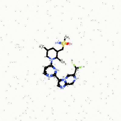 CC1CC(CS(C)(=N)=O)C(C)N(c2ccnc(-c3cnc4cnc(C(F)F)cn34)n2)C1